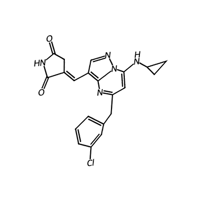 O=C1C/C(=C\c2cnn3c(NC4CC4)cc(Cc4cccc(Cl)c4)nc23)C(=O)N1